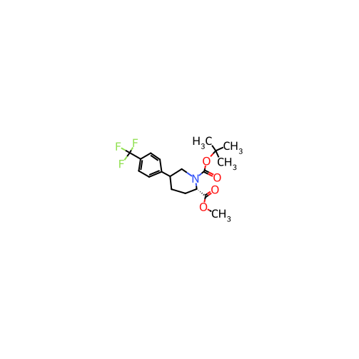 COC(=O)[C@@H]1CCC(c2ccc(C(F)(F)F)cc2)CN1C(=O)OC(C)(C)C